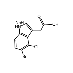 O=C(O)Cc1c[nH]c2ccc(Br)c(Cl)c12.[NaH]